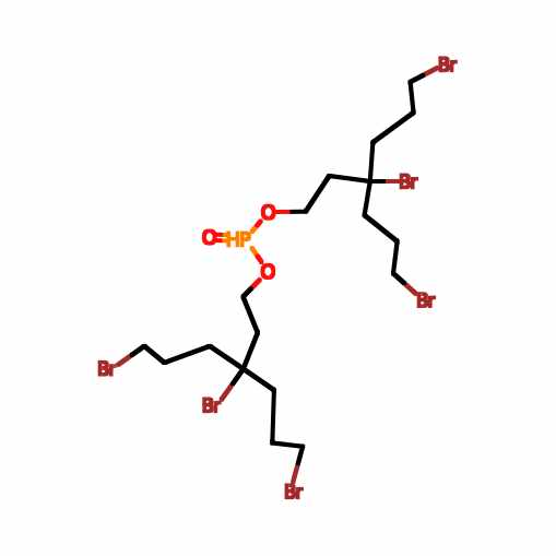 O=[PH](OCCC(Br)(CCCBr)CCCBr)OCCC(Br)(CCCBr)CCCBr